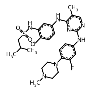 Cc1cnc(Nc2ccc(N3CCN(C)CC3)c(F)c2)nc1Nc1ccc(Cl)c(NS(=O)(=O)CC(C)C)c1